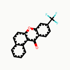 O=c1c2ccc(C(F)(F)F)cc2oc2ccc3ccccc3c12